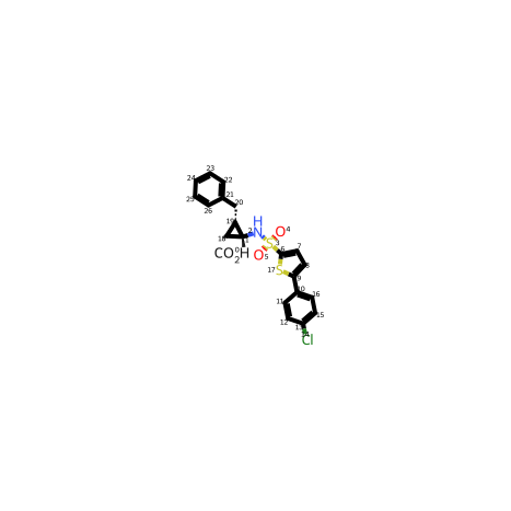 O=C(O)[C@@]1(NS(=O)(=O)c2ccc(-c3ccc(Cl)cc3)s2)C[C@@H]1Cc1ccccc1